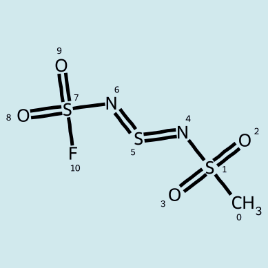 CS(=O)(=O)N=S=NS(=O)(=O)F